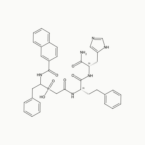 NC(=O)[C@H](Cc1cnc[nH]1)NC(=O)[C@H](CCc1ccccc1)NC(=O)CP(=O)(O)C(Cc1ccccc1)NC(=O)c1ccc2ccccc2c1